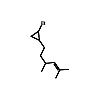 CCC1CC1CCC(C)C=C(C)C